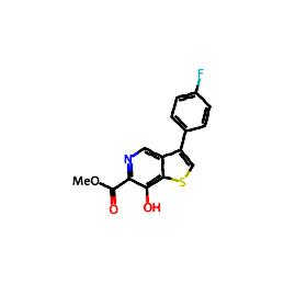 COC(=O)c1ncc2c(-c3ccc(F)cc3)csc2c1O